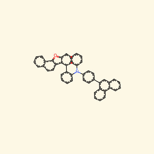 c1ccc(N(c2ccc(-c3cc4ccccc4c4ccccc34)cc2)c2ccccc2-c2cccc3oc4c5ccccc5ccc4c23)cc1